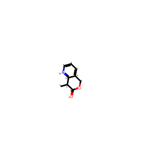 CC1C(=O)OCc2cccnc21